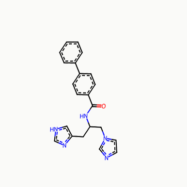 O=C(NC(Cc1c[nH]cn1)Cn1ccnc1)c1ccc(-c2ccccc2)cc1